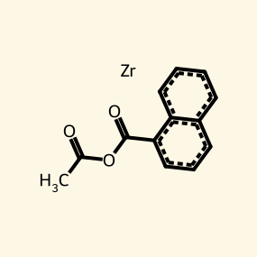 CC(=O)OC(=O)c1cccc2ccccc12.[Zr]